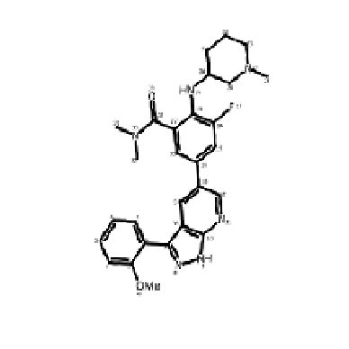 COc1ccccc1-c1n[nH]c2ncc(-c3cc(F)c(NC4CCCN(C)C4)c(C(=O)N(C)C)c3)cc12